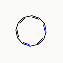 C1=CC=CC=NC=CN=CC=C1